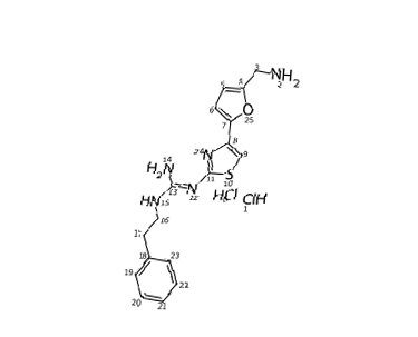 Cl.Cl.NCc1ccc(-c2csc(N=C(N)NCCc3ccccc3)n2)o1